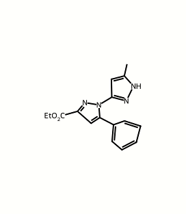 CCOC(=O)c1cc(-c2ccccc2)n(-c2cc(C)[nH]n2)n1